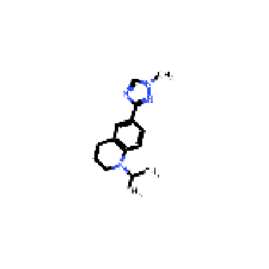 CC(C)N1CCCc2cc(-c3ncn(C)n3)ccc21